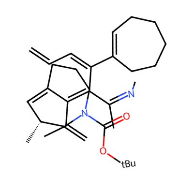 C=C\C=C(C1=CCCCCC1)/C(C(/C)=N\C)=C(C(=C)C)\C1=C/[C@@H](C)CN(C(=O)OC(C)(C)C)CCC1